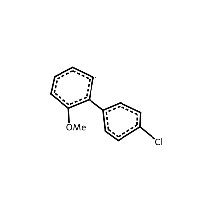 COc1ccc[c]c1-c1ccc(Cl)cc1